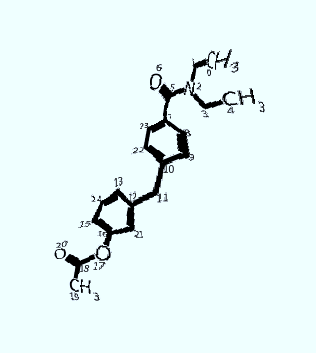 CCN(CC)C(=O)c1ccc(Cc2cccc(OC(C)=O)c2)cc1